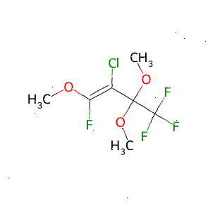 COC(F)=C(Cl)C(OC)(OC)C(F)(F)F